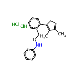 CC1=CCC(c2ccccc2[CH2][Ti][NH]c2ccccc2)=C1C.Cl.Cl